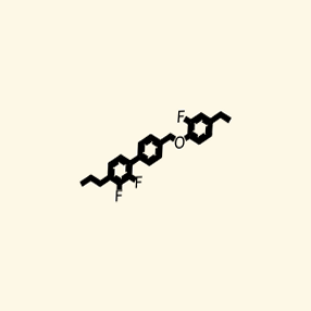 CCCc1ccc(-c2ccc(COc3ccc(CC)cc3F)cc2)c(F)c1F